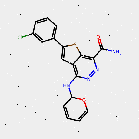 NC(=O)c1nnc(NC2C=CC=CO2)c2cc(-c3cccc(Cl)c3)sc12